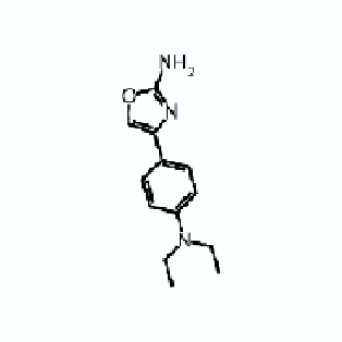 CCN(CC)c1ccc(-c2coc(N)n2)cc1